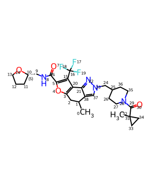 CC1Cc2oc(C(=O)NC[C@@H]3CCCO3)c(C(F)(F)F)c2-c2nn(CC3CCN(C(=O)C4(C)CC4)CC3)cc21